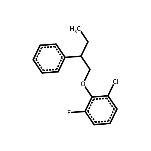 CCC(COc1c(F)cccc1Cl)c1ccccc1